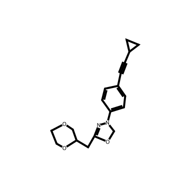 C(#CC1CC1)c1ccc(N2COC(CC3COCCO3)=N2)cc1